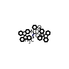 C=C/C=C(\C=C)N(c1ccc2c(c1)C1(c3ccccc3-c3ccccc31)c1ccccc1-2)c1cccc2c1Oc1c(ccc3c1-c1ccccc1C31c3ccccc3-c3ccccc31)O2